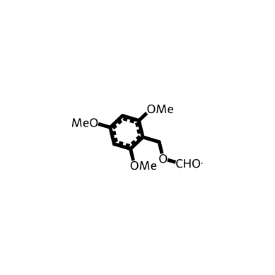 COc1cc(OC)c(CO[C]=O)c(OC)c1